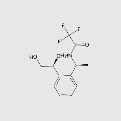 C[C@H](NC(=O)C(F)(F)F)c1ccccc1[C@H](O)CO